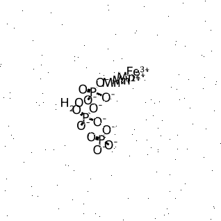 O.O=P([O-])([O-])[O-].O=P([O-])([O-])[O-].O=P([O-])([O-])[O-].[Fe+3].[Mn+2].[Mn+2].[Mn+2]